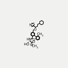 COC(=O)[C@H](CO)NC(=O)c1ccc(COC(CCC2CCCCC2)c2cncs2)cc1-c1ccccc1C